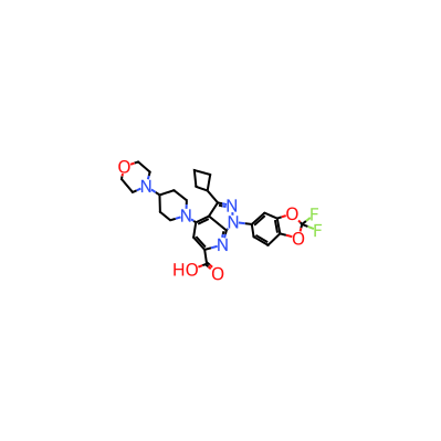 O=C(O)c1cc(N2CCC(N3CCOCC3)CC2)c2c(C3CCC3)nn(-c3ccc4c(c3)OC(F)(F)O4)c2n1